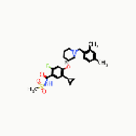 Cc1ccc(CN2CCC[C@@H](Oc3cc(F)c(C(=O)NS(C)(=O)=O)cc3C3CC3)C2)c(C)c1